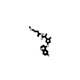 C=C(CCCOC)NC(=O)C(C)C1CC(Oc2ccnc3ccc(F)cc23)CC1C